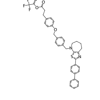 O=C(CCc1ccc(OCc2ccc(CN3CCCCc4nc(-c5ccc(-c6ccccc6)cc5)sc43)cc2)cc1)OC(=O)C(F)(F)F